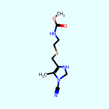 COC(=O)NCCSCC1=C(C)N(C#N)CN1